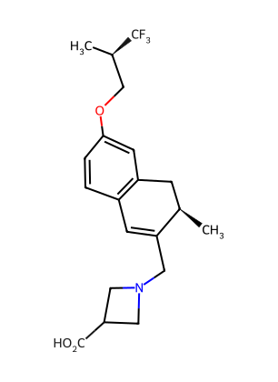 C[C@@H]1Cc2cc(OC[C@@H](C)C(F)(F)F)ccc2C=C1CN1CC(C(=O)O)C1